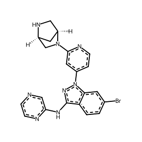 Brc1ccc2c(Nc3cnccn3)nn(-c3ccnc(N4C[C@@H]5C[C@H]4CN5)c3)c2c1